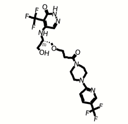 O=C(CCOC[C@H](CO)Nc1cn[nH]c(=O)c1C(F)(F)F)N1CCN(c2ccc(C(F)(F)F)cn2)CC1